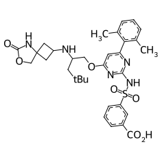 Cc1cccc(C)c1-c1cc(OCC(CC(C)(C)C)NC2CC3(COC(=O)N3)C2)nc(NS(=O)(=O)c2cccc(C(=O)O)c2)n1